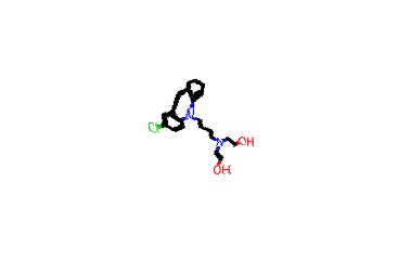 OCCN(CCO)CCCCN1c2ccccc2Cc2cc(Cl)ccc21